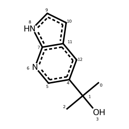 CC(C)(O)c1cnc2[nH]ccc2c1